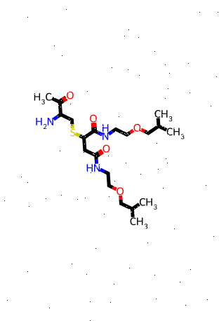 CC(=O)C(N)CSC(CC(=O)NCCOCC(C)C)C(=O)NCCOCC(C)C